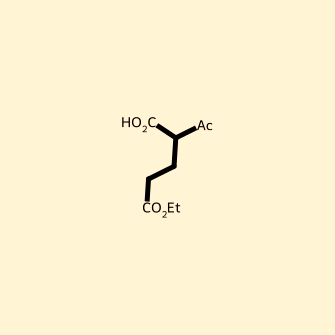 CCOC(=O)CCC(C(C)=O)C(=O)O